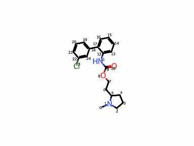 CN1CCCC1CCOC(=O)Nc1ccccc1-c1cccc(Cl)c1